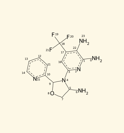 Nc1nc(N2C(N)COC2c2ccccn2)cc(C(F)(F)F)c1N